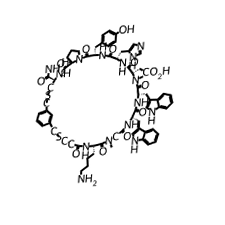 CN1CC(=O)N[C@@H](Cc2c[nH]c3ccccc23)C(=O)N[C@@H](Cc2c[nH]c3ccccc23)C(=O)N(C)[C@@H](CC(=O)O)C(=O)N[C@@H](Cc2cnc[nH]2)C(=O)N[C@@H](Cc2ccc(O)cc2)C(=O)N2CCC[C@H]2C(=O)N[C@H](C(N)=O)CSCc2cccc(c2)CSCCC(=O)N[C@@H](CCCCN)C1=O